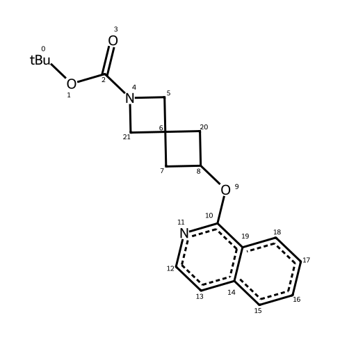 CC(C)(C)OC(=O)N1CC2(CC(Oc3nccc4ccccc34)C2)C1